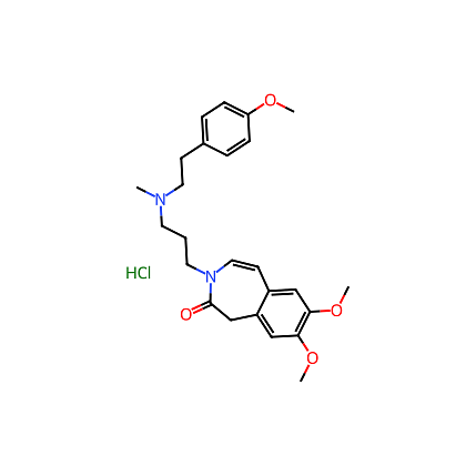 COc1ccc(CCN(C)CCCN2C=Cc3cc(OC)c(OC)cc3CC2=O)cc1.Cl